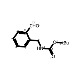 CC(C)(C)OC(=O)NCc1ccccc1[C]=O